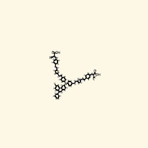 [C-]#[N+]/C(=C\c1ccc(/C=C/c2ccc(/C=C/c3ccc(N(c4ccc(/C=C(/c5ccccc5)c5ccc(C)cc5)cc4)c4ccc(/C=C/c5ccc(/C=C/c6ccc(/C=C(\C#N)C(=O)O)cc6)s5)cc4)cc3)s2)cc1)C(=O)O